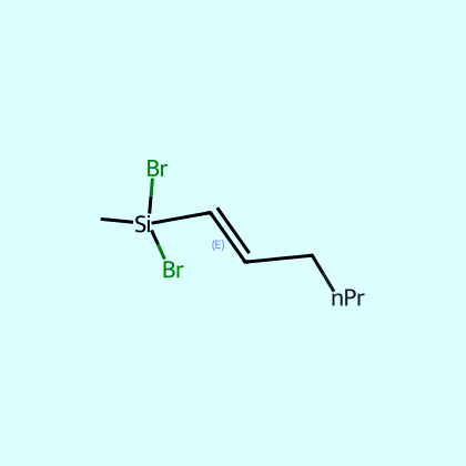 CCCC/C=C/[Si](C)(Br)Br